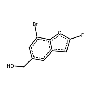 OCc1cc(Br)c2oc(F)cc2c1